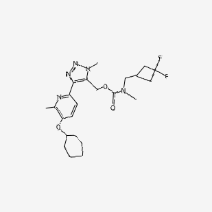 Cc1nc(-c2nnn(C)c2COC(=O)N(C)CC2CC(F)(F)C2)ccc1OC1CCCCC1